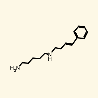 NCCCCCNCCC=Cc1ccccc1